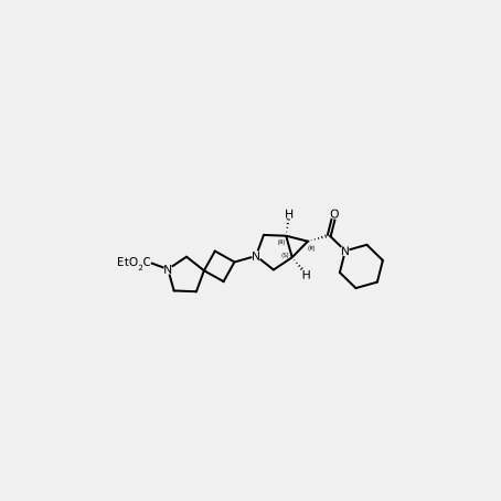 CCOC(=O)N1CCC2(CC(N3C[C@@H]4[C@H](C3)[C@H]4C(=O)N3CCCCC3)C2)C1